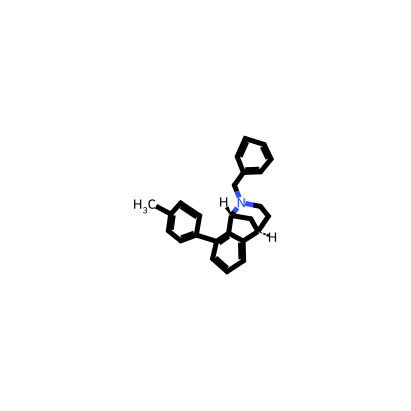 Cc1ccc(-c2cccc3c2[C@H]2C[C@H]3CCN2Cc2ccccc2)cc1